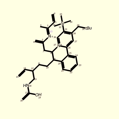 C=C/C(C)=N/C(=C)CC1C(CCC(C=C)CNC(=C)O)c2ccccc2-c2cc(CC(C)(C)C)c([Si](C)(C)C)c[n+]21